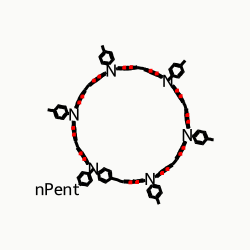 CCCCCc1ccc(N2c3ccc(cc3)-c3ccc(cc3)N(c3ccc(C)cc3)c3ccc(cc3)-c3ccc(cc3)N(c3ccc(C)cc3)c3ccc(cc3)-c3ccc(cc3)N(c3ccc(C)cc3)c3ccc(cc3)-c3ccc(cc3)N(c3ccc(C)cc3)c3ccc(cc3)-c3ccc(cc3)N(c3ccc(C)cc3)c3ccc(cc3)-c3ccc2cc3)cc1